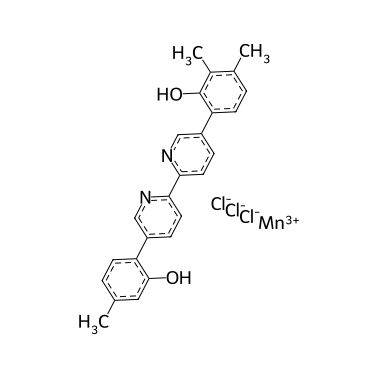 Cc1ccc(-c2ccc(-c3ccc(-c4ccc(C)c(C)c4O)cn3)nc2)c(O)c1.[Cl-].[Cl-].[Cl-].[Mn+3]